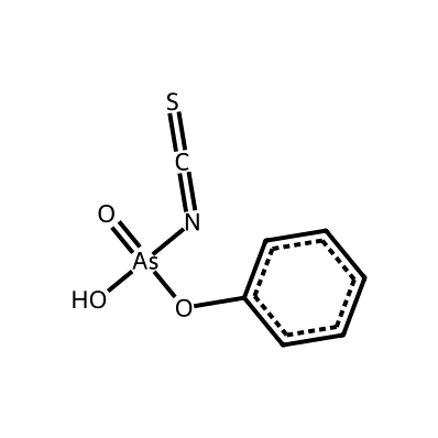 O=[As](O)(N=C=S)Oc1ccccc1